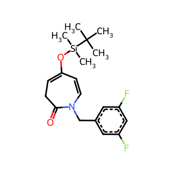 CC(C)(C)[Si](C)(C)OC1=CCC(=O)N(Cc2cc(F)cc(F)c2)C=C1